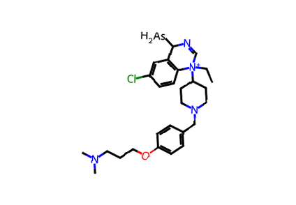 CC[N+]1(C2CCN(Cc3ccc(OCCCN(C)C)cc3)CC2)C=NC([AsH2])c2cc(Cl)ccc21